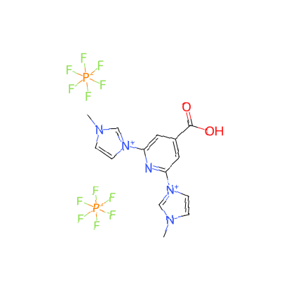 Cn1cc[n+](-c2cc(C(=O)O)cc(-[n+]3ccn(C)c3)n2)c1.F[P-](F)(F)(F)(F)F.F[P-](F)(F)(F)(F)F